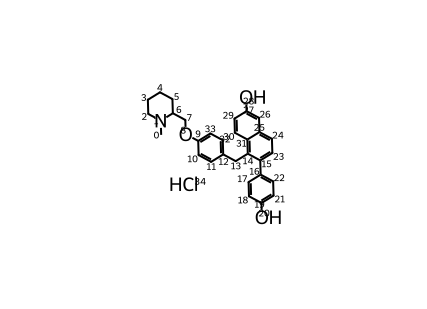 CN1CCCCC1COc1ccc(Cc2c(-c3ccc(O)cc3)ccc3cc(O)ccc23)cc1.Cl